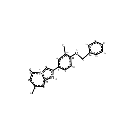 Cc1cc(C)n2cc(-c3ccc(OCc4ccccc4)c(C)c3)nc2c1